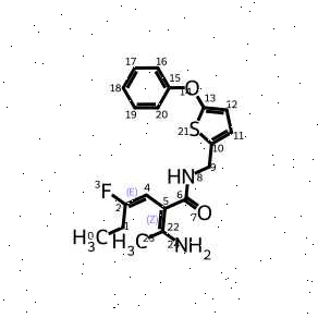 CC/C(F)=C\C(C(=O)NCc1ccc(Oc2ccccc2)s1)=C(/C)N